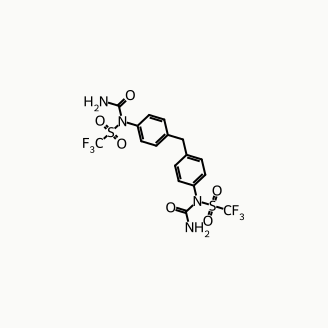 NC(=O)N(c1ccc(Cc2ccc(N(C(N)=O)S(=O)(=O)C(F)(F)F)cc2)cc1)S(=O)(=O)C(F)(F)F